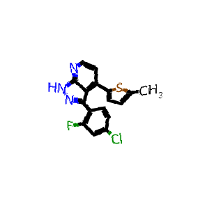 Cc1ccc(-c2ccnc3[nH]nc(-c4ccc(Cl)cc4F)c23)s1